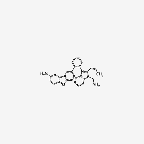 C/C=C\c1c(CN)c2ccccc2n1-c1ccccc1-c1ccc2oc3ccc(N)cc3c2c1